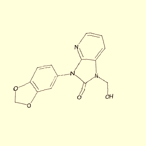 O=c1n(CO)c2cccnc2n1-c1ccc2c(c1)OCO2